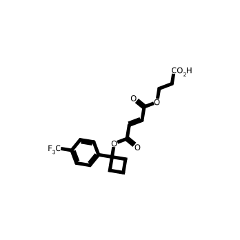 O=C(O)CCOC(=O)/C=C/C(=O)OC1(c2ccc(C(F)(F)F)cc2)CCC1